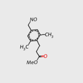 COC(=O)CCc1c(C)cc(CN=O)cc1C